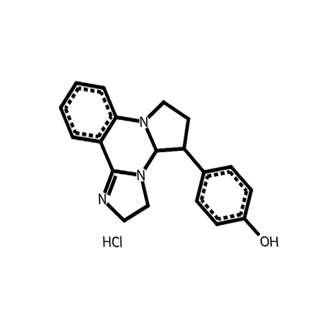 Cl.Oc1ccc(C2CCN3c4ccccc4C4=NCCN4C23)cc1